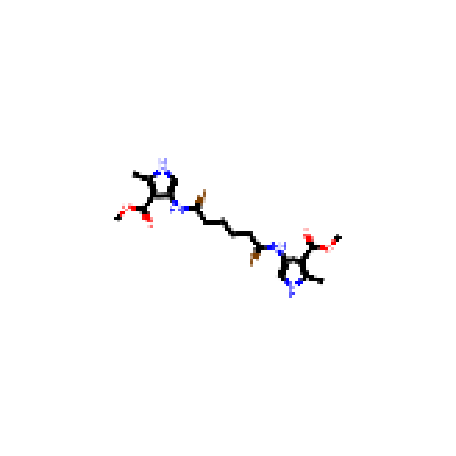 COC(=O)c1c(NC(=S)CCCCC(=S)Nc2c[nH]c(C)c2C(=O)OC)c[nH]c1C